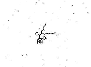 CCCCCCC(CCCCC)C(=O)c1cn(C)nc1OC